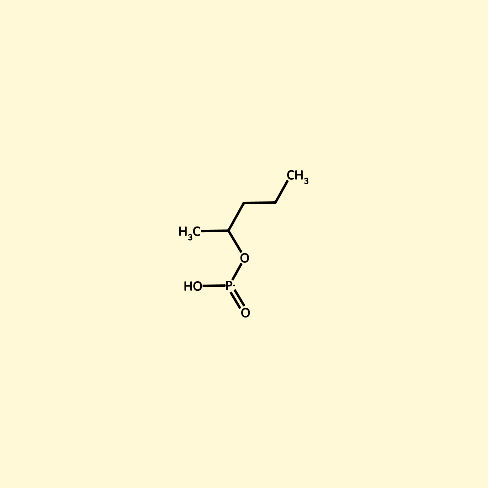 CCCC(C)O[P](=O)O